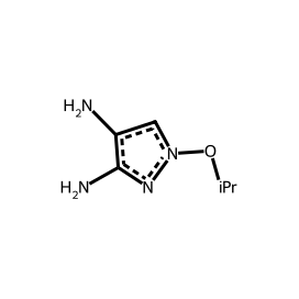 CC(C)On1cc(N)c(N)n1